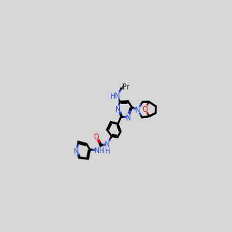 CC(C)Nc1cc(N2CC3CCC(C2)O3)nc(-c2ccc(NC(=O)Nc3ccncc3)cc2)n1